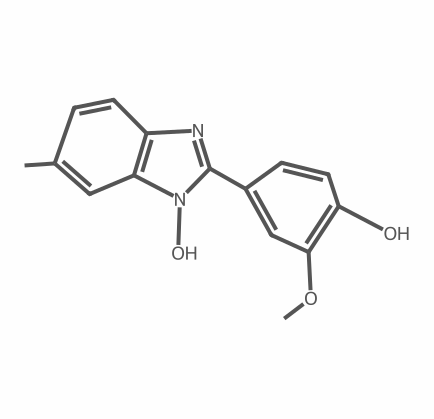 COc1cc(-c2nc3ccc(C)cc3n2O)ccc1O